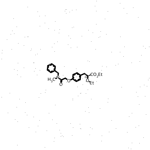 CCOC(=O)[C@H](Cc1ccc(OCC(=O)N(C)Cc2ccccc2)cc1)OCC